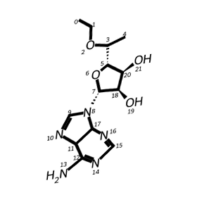 CCOC(C)[C@H]1O[C@@H](N2C=NC3C(N)=NC=NC32)[C@H](O)[C@@H]1O